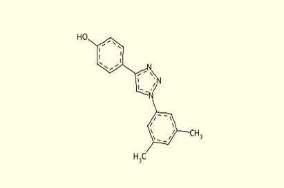 Cc1cc(C)cc(-n2cc(-c3ccc(O)cc3)nn2)c1